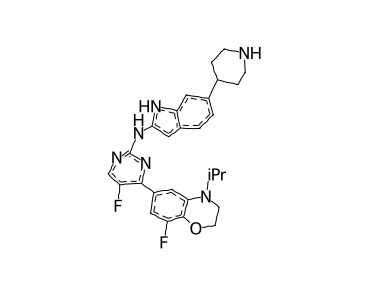 CC(C)N1CCOc2c(F)cc(-c3nc(Nc4cc5ccc(C6CCNCC6)cc5[nH]4)ncc3F)cc21